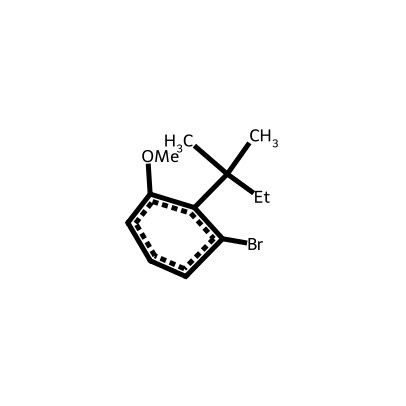 CCC(C)(C)c1c(Br)cccc1OC